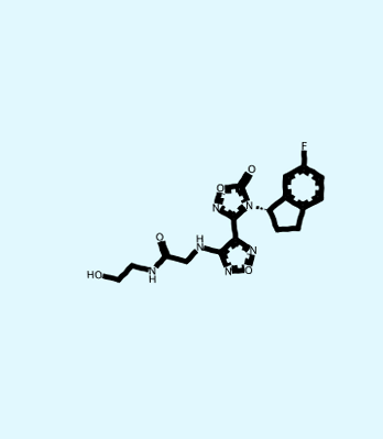 O=C(CNc1nonc1-c1noc(=O)n1[C@H]1CCc2ccc(F)cc21)NCCO